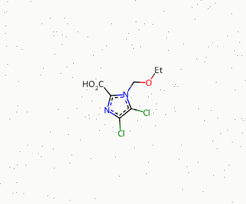 CCOCn1c(C(=O)O)nc(Cl)c1Cl